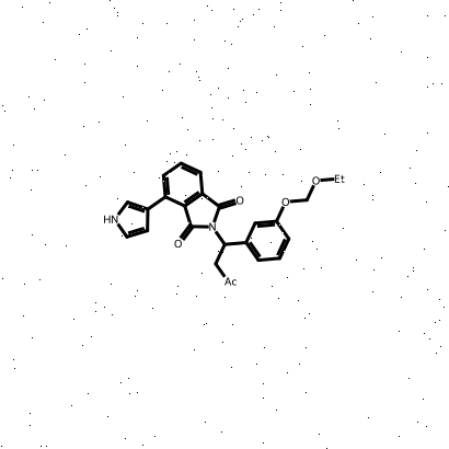 CCOCOc1cccc(C(CC(C)=O)N2C(=O)c3cccc(-c4cc[nH]c4)c3C2=O)c1